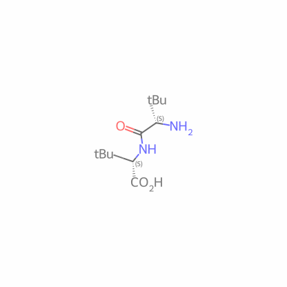 CC(C)(C)[C@H](N)C(=O)N[C@H](C(=O)O)C(C)(C)C